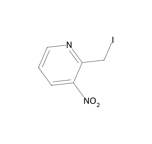 O=[N+]([O-])c1cccnc1CI